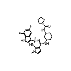 Cn1ccc2c1NC(C)(c1c[nH]c3c(F)cc(F)cc13)N=C2NC1CCC[C@H](NC(=O)N2CCCC2)C1